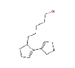 BrCCCCCC1CCC=C1C1=CCCC1